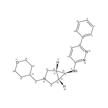 c1ccc(-c2ccc(N[C@H]3[C@@H]4CN(CC5CCOCC5)C[C@@H]43)nn2)cc1